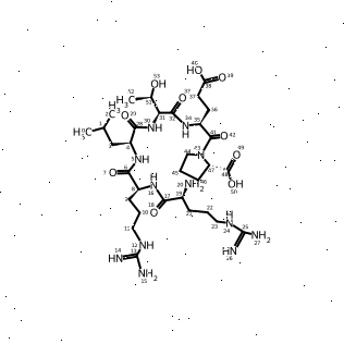 CC(C)C[C@H](NC(=O)[C@H](CCCNC(=N)N)NC(=O)[C@@H](N)CCCNC(=N)N)C(=O)N[C@H](C(=O)N[C@@H](CCC(=O)O)C(=O)N1CCC[C@H]1C(=O)O)[C@@H](C)O